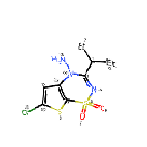 CCC(CC)C1=NS(=O)(=O)c2sc(Cl)cc2N1N